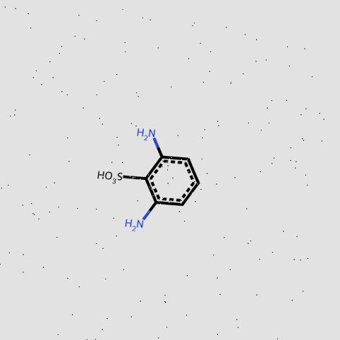 Nc1cccc(N)c1S(=O)(=O)O